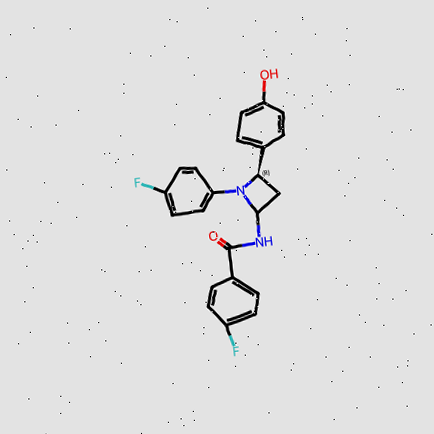 O=C(NC1C[C@H](c2ccc(O)cc2)N1c1ccc(F)cc1)c1ccc(F)cc1